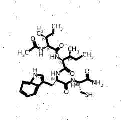 CC[C@H](C)[C@H](NC(C)=O)C(=O)N[C@H](C(=O)N[C@@H](Cc1c[nH]c2ccccc12)C(=O)N[C@@H](CS)C(N)=O)[C@@H](C)CC